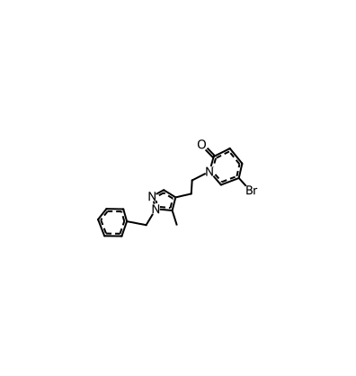 Cc1c(CCn2cc(Br)ccc2=O)cnn1Cc1ccccc1